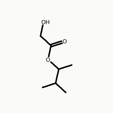 CC(C)C(C)OC(=O)CO